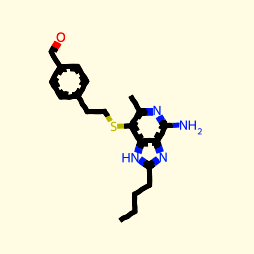 CCCCc1nc2c(N)nc(C)c(SCCc3ccc(C=O)cc3)c2[nH]1